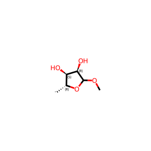 [CH2][C@H]1OC(OC)[C@H](O)[C@@H]1O